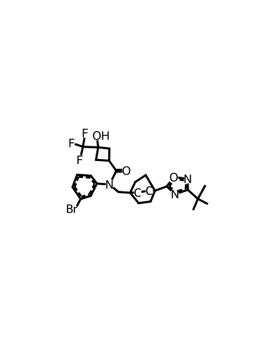 CC(C)(C)c1noc(C23CCC(CN(C(=O)C4CC(O)(C(F)(F)F)C4)c4cccc(Br)c4)(CC2)CC3)n1